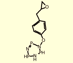 c1cc(On2pn[pH][nH][pH]2)ccc1CC1CO1